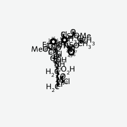 C=CCN(CC=C)C(=O)C(Cl)Cl.CCc1cccc(C)c1N(C(=O)CCl)C(C)COC.COC(=O)CSc1cc(/N=c2\sc(=O)n3n2CCCC3)c(F)cc1Cl.C[S+](C)C.O=C(O)CNCP(=O)([O-])O